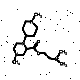 CN(C)CCOC(=O)C1CN(C)CCN1C1CCN(C)CC1